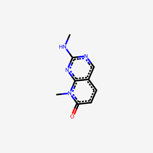 CNc1ncc2ccc(=O)n(C)c2n1